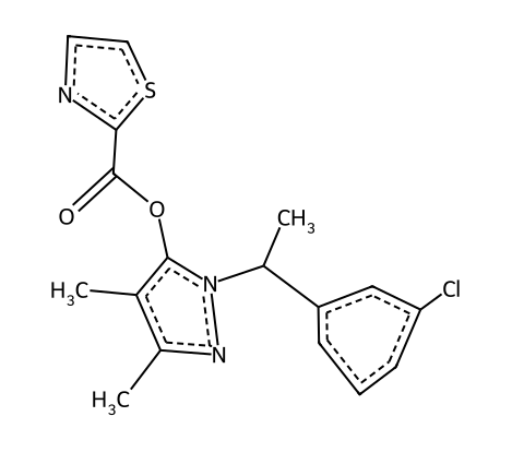 Cc1nn(C(C)c2cccc(Cl)c2)c(OC(=O)c2nccs2)c1C